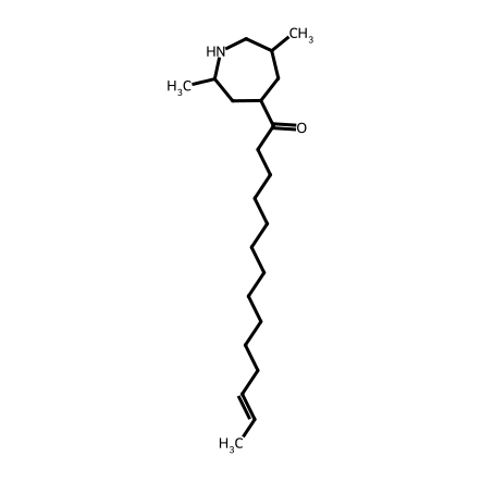 CC=CCCCCCCCCCCC(=O)C1CC(C)CNC(C)C1